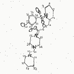 O=C(COCC1CCCCN1S(=O)(=O)c1ccc(Cl)c(Cl)c1)N1CCN(CCN2CCCCC2)CC1